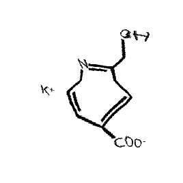 O=C([O-])c1ccnc(O)c1.[K+]